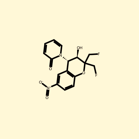 O=c1ccccn1[C@H]1c2cc([N+](=O)[O-])ccc2OC(CF)(CF)[C@@H]1O